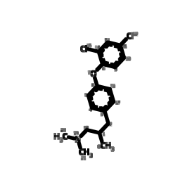 CC(Cc1ccc(Oc2ccc(Cl)cc2Cl)cc1)CN(C)C